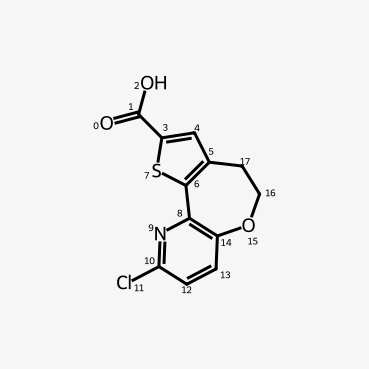 O=C(O)c1cc2c(s1)-c1nc(Cl)ccc1OCC2